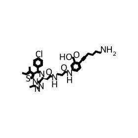 Cc1sc2c(c1C)C(c1ccc(Cl)cc1)=N[C@@H](CC(=O)NCCC(=O)Nc1ccc(C#CCCCCN)c(C(=O)O)c1)c1nnc(C)n1-2